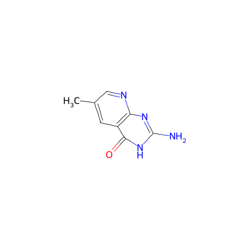 Cc1cnc2nc(N)[nH]c(=O)c2c1